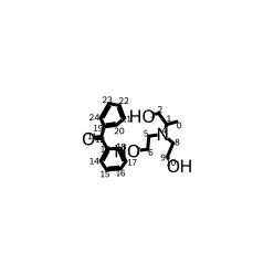 CC(CO)N(CCO)CCO.O=C(c1ccccc1)c1ccccc1